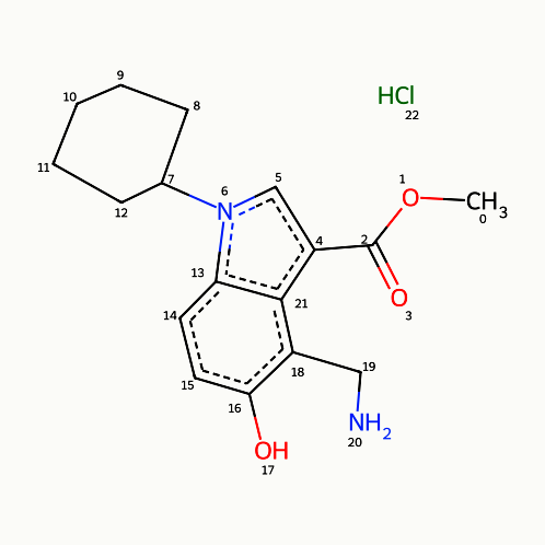 COC(=O)c1cn(C2CCCCC2)c2ccc(O)c(CN)c12.Cl